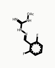 CC(=O)ONC(=N)NN=Cc1c(F)cccc1F